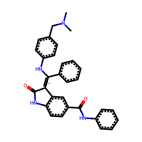 CN(C)Cc1ccc(N/C(=C2\C(=O)Nc3ccc(C(=O)Nc4ccccc4)cc32)c2ccccc2)cc1